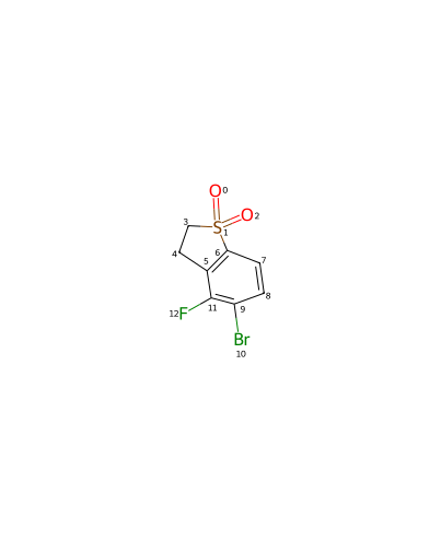 O=S1(=O)CCc2c1ccc(Br)c2F